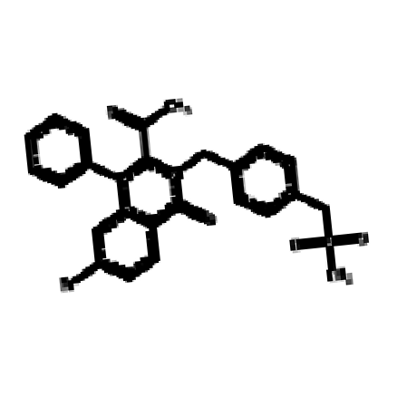 CC(=O)c1c(-c2ccccc2)c2cc(Br)ccc2c(=O)n1Cc1ccc(CS(C)(=O)=O)cc1